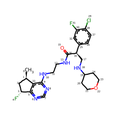 C[C@@H]1C[C@@H](F)c2ncnc(NCCNC(=O)[C@H](CNC3CCOCC3)c3ccc(Cl)c(F)c3)c21